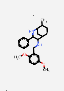 COc1ccc(OC)c(CNC2C3CCC(C)C(C3)NC2c2ccccc2)c1